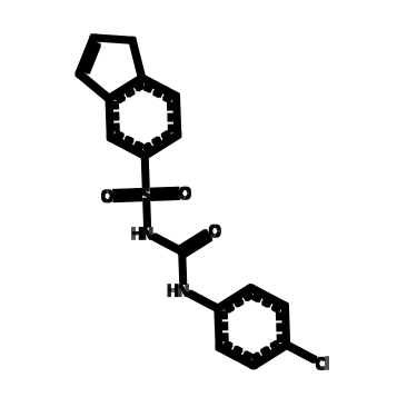 O=C(Nc1ccc(Cl)cc1)NS(=O)(=O)c1ccc2c(c1)C=CC2